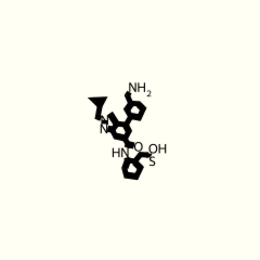 NCc1cccc(-c2cc(C(=O)Nc3ccccc3CC(O)=S)cc3nn(CC4CC4)cc23)c1